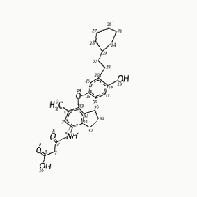 Cc1cc(NC(=O)CC(=O)O)c2c(c1Oc1ccc(O)c(CCC3CCCCC3)c1)CCC2